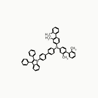 Cc1ccccc1-c1ccc(N(c2ccc(-c3ccc(-n4c(-c5ccccc5)c(-c5ccccc5)c5ccccc54)cc3)cc2)c2ccc(-c3ccccc3C)c(C)c2)cc1C